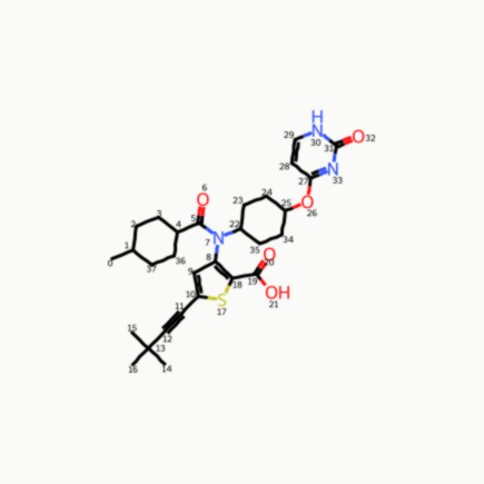 CC1CCC(C(=O)N(c2cc(C#CC(C)(C)C)sc2C(=O)O)C2CCC(Oc3cc[nH]c(=O)n3)CC2)CC1